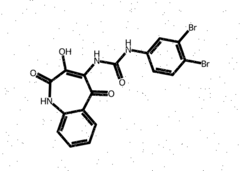 O=C(Nc1ccc(Br)c(Br)c1)Nc1c(O)c(=O)[nH]c2ccccc2c1=O